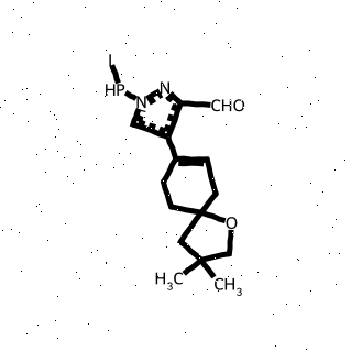 CC1(C)COC2(CC=C(c3cn(PI)nc3C=O)CC2)C1